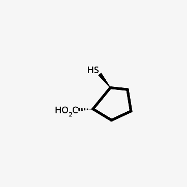 O=C(O)[C@H]1CCC[C@@H]1S